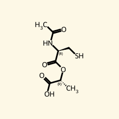 CC(=O)N[C@@H](CS)C(=O)O[C@H](C)C(=O)O